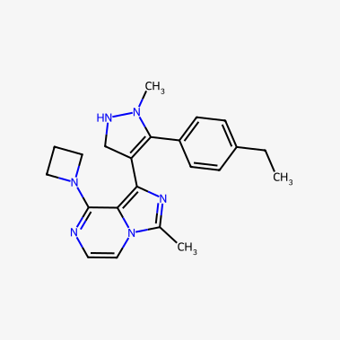 CCc1ccc(C2=C(c3nc(C)n4ccnc(N5CCC5)c34)CNN2C)cc1